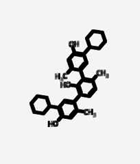 Cc1cc(O)c(C2CCCCC2)cc1-c1ccc(C)c(-c2cc(C3CCCCC3)c(O)cc2C)c1O